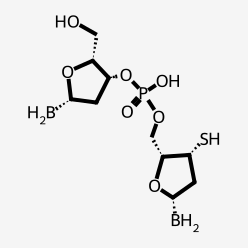 B[C@H]1C[C@@H](S)[C@@H](COP(=O)(O)O[C@@H]2C[C@H](B)O[C@@H]2CO)O1